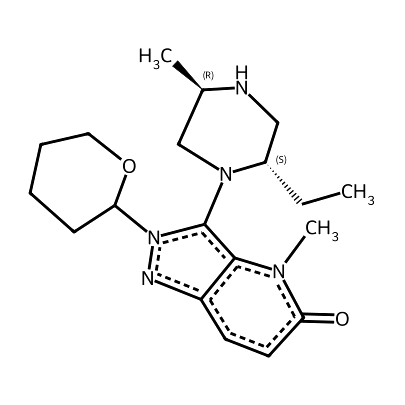 CC[C@H]1CN[C@H](C)CN1c1c2c(ccc(=O)n2C)nn1C1CCCCO1